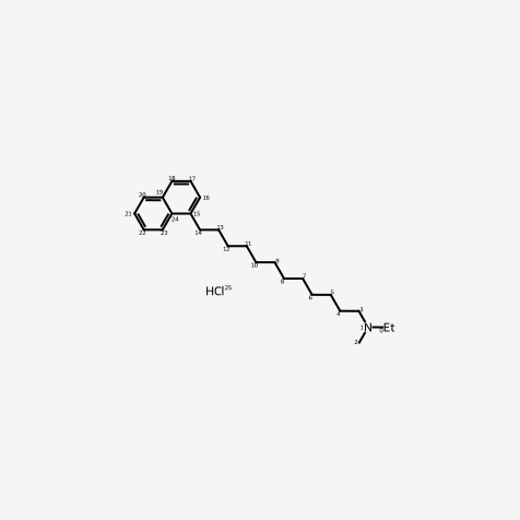 CCN(C)CCCCCCCCCCCCc1cccc2ccccc12.Cl